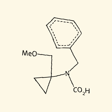 COCC1(N(Cc2ccccc2)C(=O)O)CC1